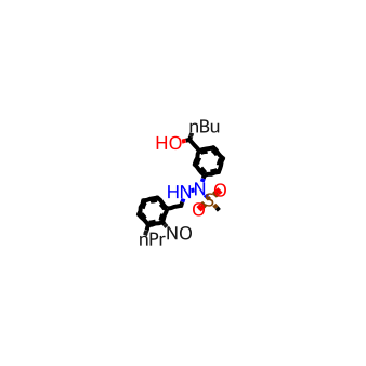 CCCCC(O)c1cccc(N(NCc2cccc(CCC)c2N=O)S(C)(=O)=O)c1